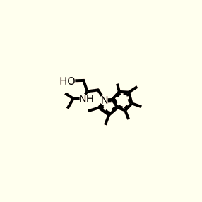 Cc1c(C)c(C)c2c(c1C)c(C)c(C)n2CC(CO)NC(C)C